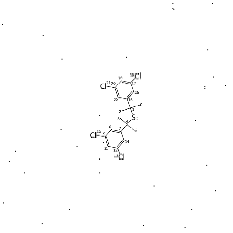 CC(C)(SC(C)(C)c1cc(Cl)cc(Cl)c1)c1cc(Cl)cc(Cl)c1